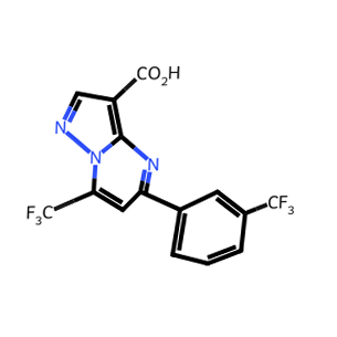 O=C(O)c1cnn2c(C(F)(F)F)cc(-c3cccc(C(F)(F)F)c3)nc12